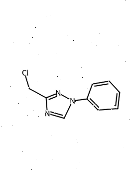 ClCc1ncn(-c2ccccc2)n1